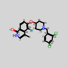 Cc1c[nH]c(=O)c2ccc(OC3CCN(Cc4ccc(Cl)cc4Cl)CC3)c(F)c12